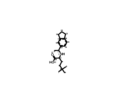 CC(NC(CCC(C)(C)C)C(=O)O)c1ccc2c(c1)CCC2